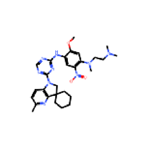 COc1cc(N(C)CCN(C)C)c([N+](=O)[O-])cc1Nc1ncnc(N2CC3(CCCCC3)c3nc(C)ccc32)n1